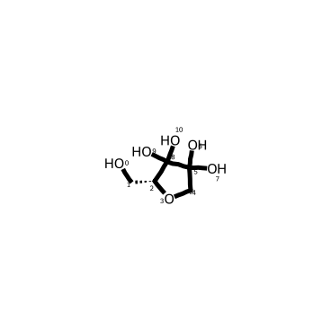 OC[C@H]1O[CH]C(O)(O)C1(O)O